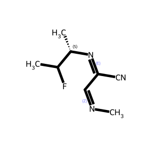 C/N=C\C(C#N)=N/[C@@H](C)C(C)F